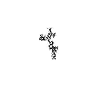 CC(C)(C)OC(=O)CS(=O)(=O)Nc1cccc2c1ccn2CC(=O)O[C@@H](Cc1c(Cl)cncc1Cl)c1ccc(OC(F)F)c(OCC2CC2)c1